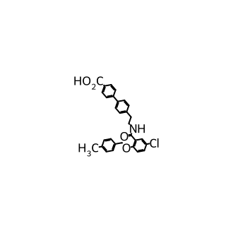 Cc1ccc(COc2ccc(Cl)cc2C(=O)NCCc2ccc(-c3ccc(C(=O)O)cc3)cc2)cc1